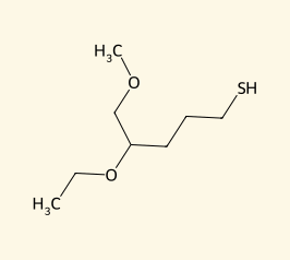 CCOC(CCCS)COC